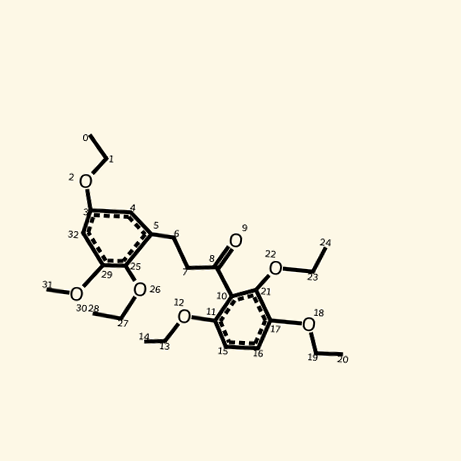 CCOc1cc(CCC(=O)c2c(OCC)ccc(OCC)c2OCC)c(OCC)c(OC)c1